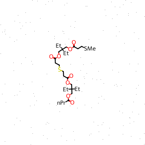 CCCC(=O)OCC(CC)(CC)COC(=O)CCSCCC(=O)OCC(CC)(CC)COC(=O)CCSC